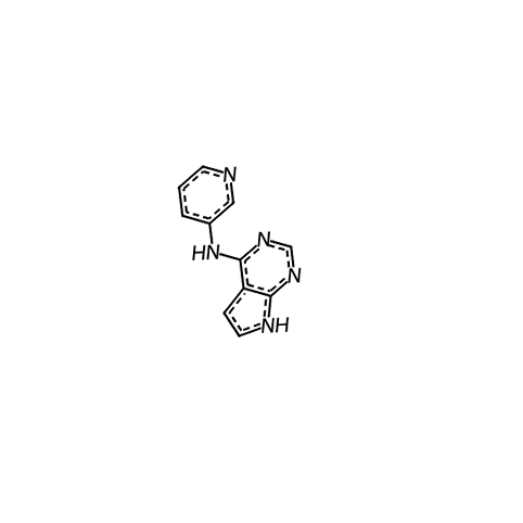 c1cncc(Nc2ncnc3[nH]ccc23)c1